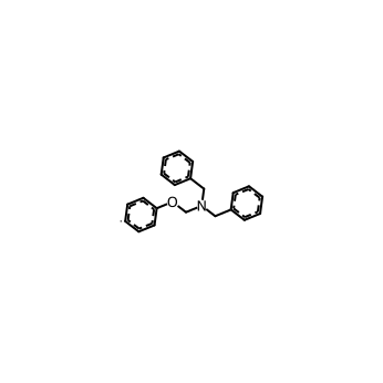 [c]1ccc(OCN(Cc2ccccc2)Cc2ccccc2)cc1